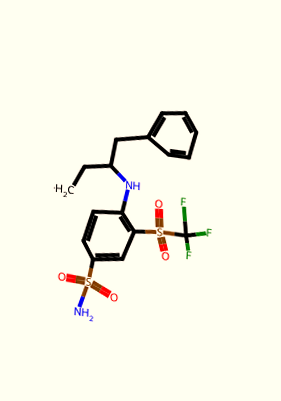 [CH2]CC(Cc1ccccc1)Nc1ccc(S(N)(=O)=O)cc1S(=O)(=O)C(F)(F)F